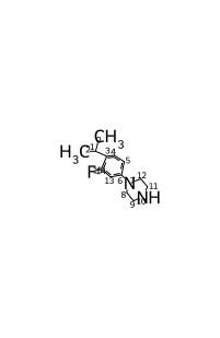 CC(C)c1ccc(N2CCNCC2)cc1F